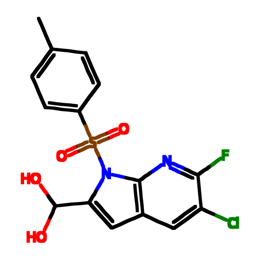 Cc1ccc(S(=O)(=O)n2c(C(O)O)cc3cc(Cl)c(F)nc32)cc1